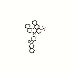 CC(C)(C)c1ccc(N(c2ccc3c(c2)oc2cc4ccccc4cc23)c2ccc3ccccc3c2-c2cccc3ccccc23)cc1